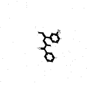 C/C=C(\C=C(/C)C(=O)c1ccccc1)c1cccc(Br)c1